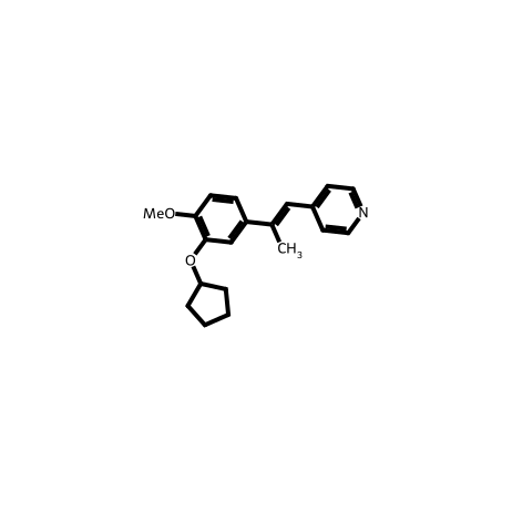 COc1ccc(C(C)=Cc2ccncc2)cc1OC1CCCC1